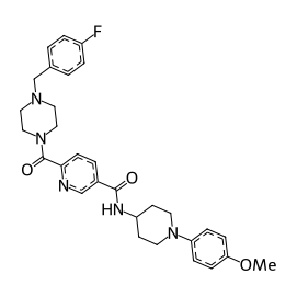 COc1ccc(N2CCC(NC(=O)c3ccc(C(=O)N4CCN(Cc5ccc(F)cc5)CC4)nc3)CC2)cc1